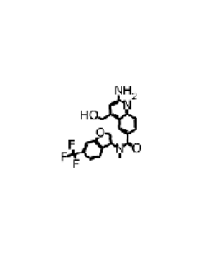 CN(C(=O)c1ccc2nc(N)cc(CO)c2c1)C1COc2cc(C(F)(F)F)ccc21